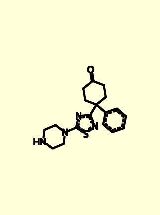 O=C1CCC(c2ccccc2)(c2nsc(N3CCNCC3)n2)CC1